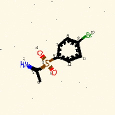 CC(=N)S(=O)(=O)c1ccc(Br)cc1